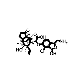 C=C[C@]1(C)C[C@@H](C(Oc2ccc3c(c2Cl)B(O)OC3CN)C(=O)O)[C@@]2(C)[C@H](C)CC[C@]3(CCC(=O)[C@H]32)[C@@H](C)[C@@H]1O